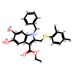 CCOC(=O)c1c(CSc2ccc(C)cc2C)n(Cc2ccccc2)c2cc(Br)c(O)cc12